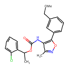 COCc1cccc(-c2onc(C)c2NC(=O)OC(C)c2ccccc2Cl)c1